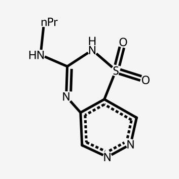 CCCNC1=Nc2cnncc2S(=O)(=O)N1